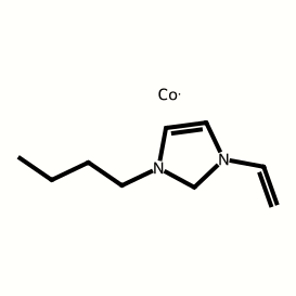 C=CN1C=CN(CCCC)C1.[Co]